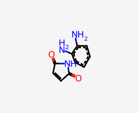 Nc1ccccc1N.O=C1C=CC(=O)N1